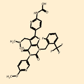 COc1ccc(-n2c(=O)c3c(CN(C)C)c(-c4ccc(NC(=O)O)nc4)sc3n(Cc3c(F)cccc3C(F)(F)F)c2=O)cn1